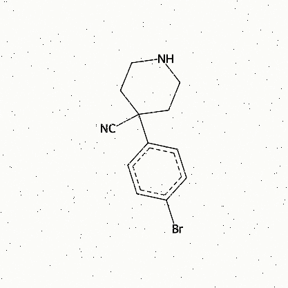 N#CC1(c2ccc(Br)cc2)CCNCC1